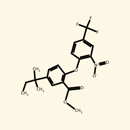 CCC(C)(C)c1ccc(Oc2ccc(C(F)(F)F)cc2[N+](=O)[O-])c(C(=O)OC)c1